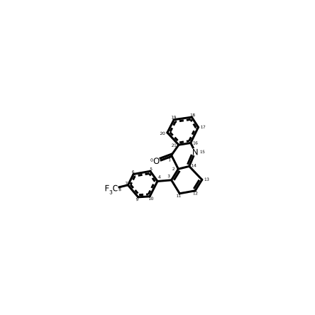 O=C1C2=C(c3ccc(C(F)(F)F)cc3)CC=CC2=Nc2ccccc21